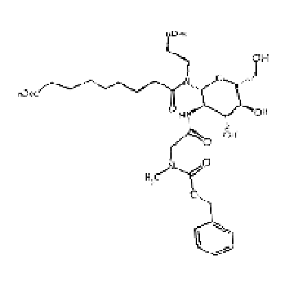 CCCCCCCCCCCCCCCCCC(=O)N(CCCCCCCCCCCC)[C@@H]1O[C@H](CO)[C@@H](O)[C@H](O)[C@H]1NC(=O)CN(C)C(=O)OCc1ccccc1